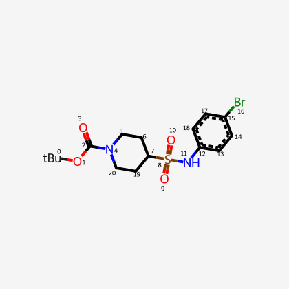 CC(C)(C)OC(=O)N1CCC(S(=O)(=O)Nc2ccc(Br)cc2)CC1